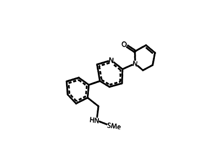 CSNCc1ccccc1-c1ccc(N2CCC=CC2=O)nc1